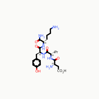 CC(C)[C@H](NC(=O)[C@@H](N)CC(=O)O)C(=O)N[C@@H](Cc1ccc(O)cc1)C(=O)N[C@@H](CCCCN)C(N)=O